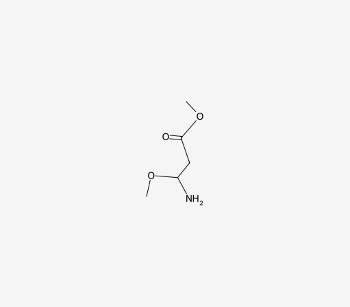 COC(=O)CC(N)OC